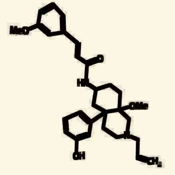 C=CCN1CCC2(c3cccc(O)c3)CC(NC(=O)/C=C/c3cccc(OC)c3)CCC2(OC)C1